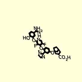 CN1CC=NC1c1cc(OC23CCC(CC(C(=O)O)C2)C3)ccc1Oc1c(F)cnc(Oc2cc(C(=N)N)ccc2O)c1F